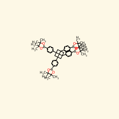 CC1(C)OB(c2ccc(C34CC5(c6ccc(B7OC(C)(C)C(C)(C)O7)cc6)CC6(c7ccc(B8OC(C)(C)C(C)(C)O8)cc7)CC(c7ccc(B8OC(C)(C)C(C)(C)O8)cc7)(C3)C456)cc2)OC1(C)C